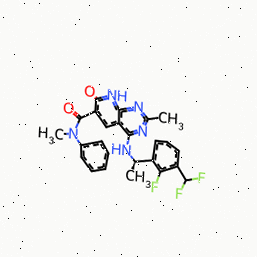 Cc1nc(N[C@H](C)c2cccc(C(F)F)c2F)c2cc(C(=O)N(C)c3ccccc3)c(=O)[nH]c2n1